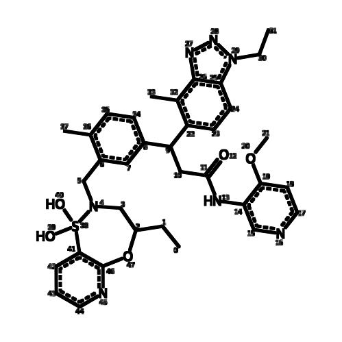 CCC1CN(Cc2cc(C(CC(=O)Nc3cnccc3OC)c3ccc4c(nnn4CC)c3C)ccc2C)S(O)(O)c2cccnc2O1